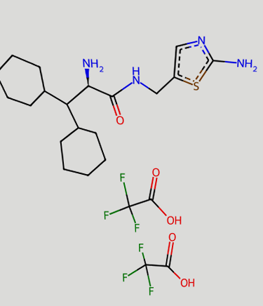 Nc1ncc(CNC(=O)[C@H](N)C(C2CCCCC2)C2CCCCC2)s1.O=C(O)C(F)(F)F.O=C(O)C(F)(F)F